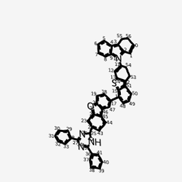 C1=Cc2c(c3ccccc3n2C2=Cc3sc4c(-c5ccc6oc7cc(C8N=C(c9ccccc9)N=C(c9ccccc9)N8)ccc7c6c5)cccc4c3CC2)CC1